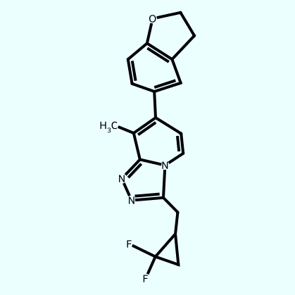 Cc1c(-c2ccc3c(c2)CCO3)ccn2c(CC3CC3(F)F)nnc12